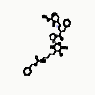 COC(=O)C(CCCCNC(=O)OCc1ccccc1)NC(=O)[C@@H]1CCCN1C(=O)C(/C=C/C(CC(C)C)NC(=O)OC(C)(C)C)Cc1ccccc1